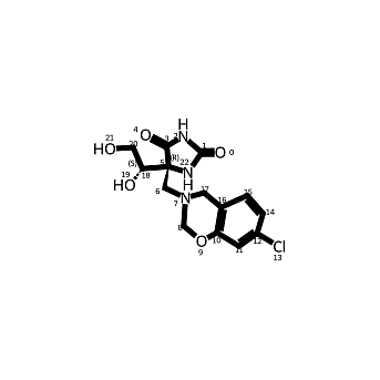 O=C1NC(=O)[C@@](CN2COc3cc(Cl)ccc3C2)([C@H](O)CO)N1